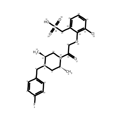 C[C@@H]1CN(Cc2ccc(F)cc2)[C@@H](C)CN1C(=O)COc1c(Cl)cccc1CS(=O)(=O)O